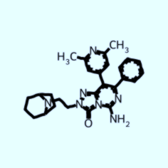 Cc1cc(-c2c(-c3ccccc3)nc(N)n3c(=O)n(CCN4C5CCCC4CC5)nc23)cc(C)n1